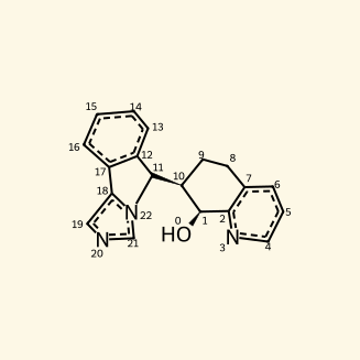 O[C@@H]1c2ncccc2CC[C@@H]1C1c2ccccc2-c2cncn21